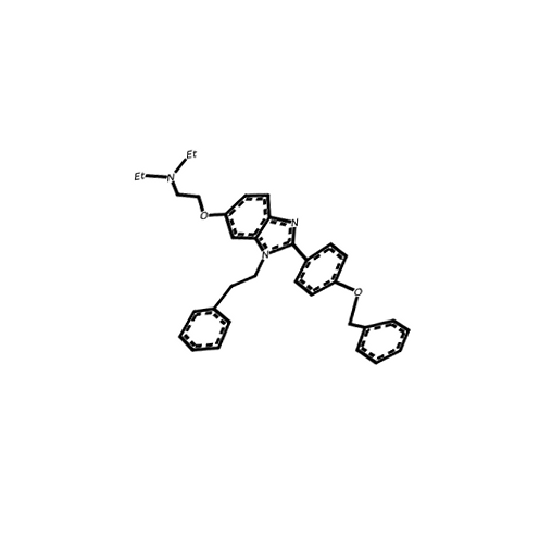 CCN(CC)CCOc1ccc2nc(-c3ccc(OCc4ccccc4)cc3)n(CCc3ccccc3)c2c1